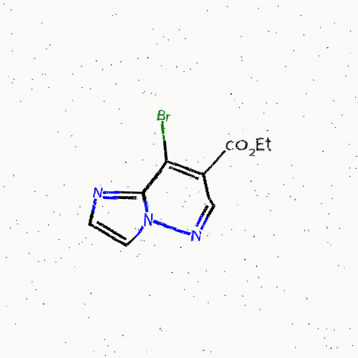 CCOC(=O)c1cnn2ccnc2c1Br